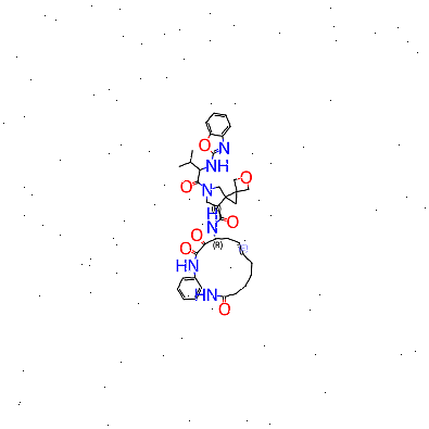 CC(C)C(Nc1nc2ccccc2o1)C(=O)N1C[C@H](C(=O)N[C@@H]2C/C=C/CCCCC(=O)Nc3ccccc3NC(=O)C2=O)C2(C1)CC21COC1